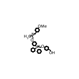 COc1ccc(C=NN(C)COc2ccc(P(=NCOc3ccc(CO)cc3)(c3ccccc3)c3ccccc3)cc2)cc1